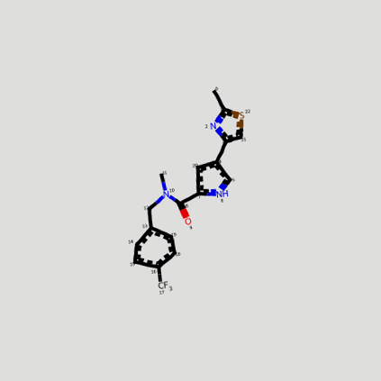 Cc1nc(-c2c[nH]c(C(=O)N(C)Cc3ccc(C(F)(F)F)cc3)c2)cs1